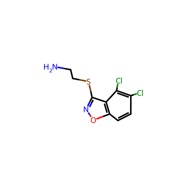 NCCSc1noc2ccc(Cl)c(Cl)c12